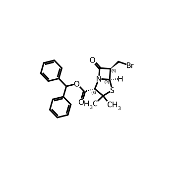 CC1(C)S[C@@H]2[C@H](CBr)C(=O)N2[C@H]1C(=O)OC(c1ccccc1)c1ccccc1